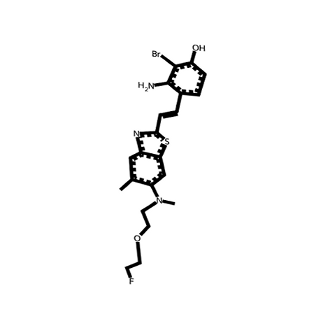 Cc1cc2nc(/C=C/c3ccc(O)c(Br)c3N)sc2cc1N(C)CCOCCF